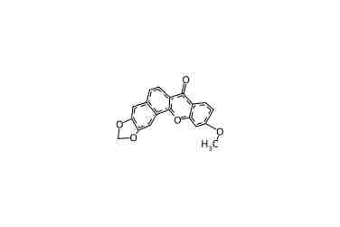 COc1ccc2c(=O)c3ccc4cc5c(cc4c3oc2c1)OCO5